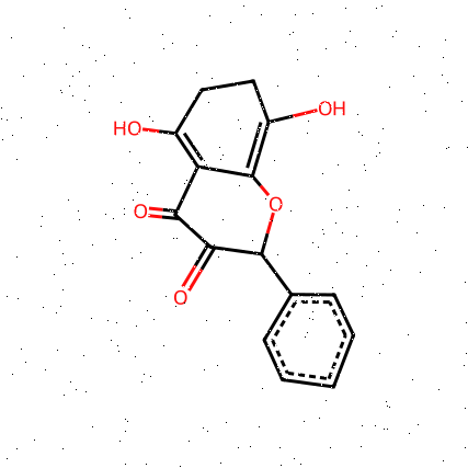 O=C1C(=O)C(c2ccccc2)OC2=C(O)CCC(O)=C12